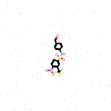 O=Cc1ccc(NS(=O)(=O)c2ccc([N+](=O)[O-])c(C(F)(F)F)c2)cc1